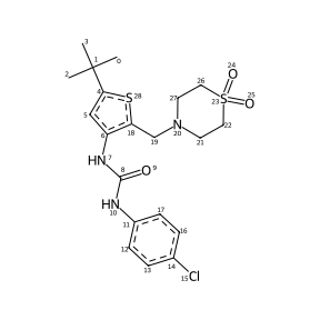 CC(C)(C)c1cc(NC(=O)Nc2ccc(Cl)cc2)c(CN2CCS(=O)(=O)CC2)s1